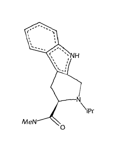 CNC(=O)[C@H]1Cc2c([nH]c3ccccc23)CN1C(C)C